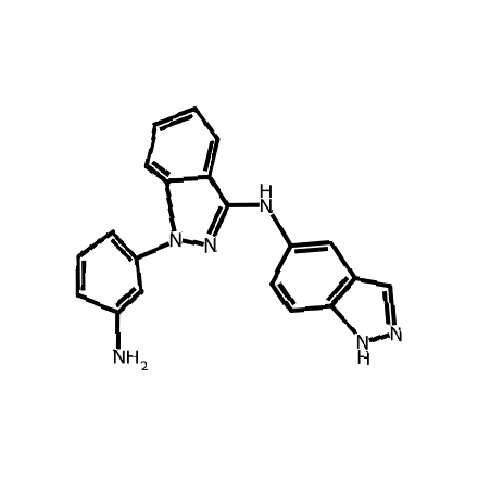 Nc1cccc(-n2nc(Nc3ccc4[nH]ncc4c3)c3ccccc32)c1